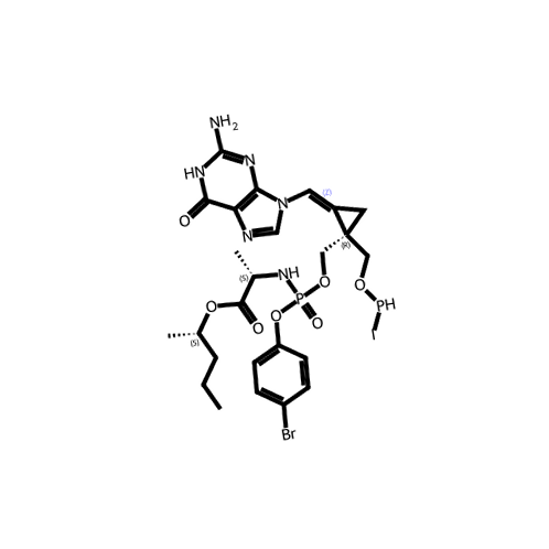 CCC[C@H](C)OC(=O)[C@H](C)NP(=O)(OC[C@@]1(COPI)C/C1=C/n1cnc2c(=O)[nH]c(N)nc21)Oc1ccc(Br)cc1